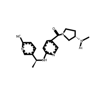 CC(=O)N(C)[C@H]1CCN(C(=O)c2ccc(N[C@@H](C)c3ccc(C#N)nc3)nc2)C1